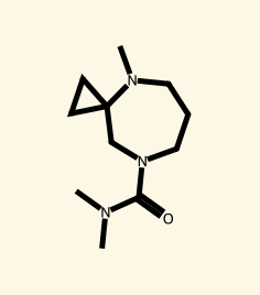 CN(C)C(=O)N1CCCN(C)C2(CC2)C1